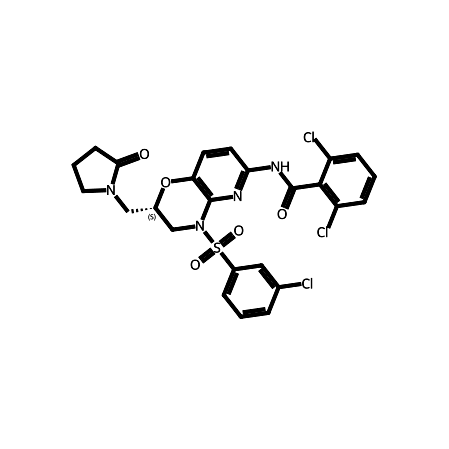 O=C(Nc1ccc2c(n1)N(S(=O)(=O)c1cccc(Cl)c1)C[C@H](CN1CCCC1=O)O2)c1c(Cl)cccc1Cl